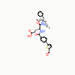 CC(C)(Cc1ccccc1)NC(=O)[C@H](CCC(=O)O)NC(=O)c1ccc(-c2ccc(C=O)s2)cc1